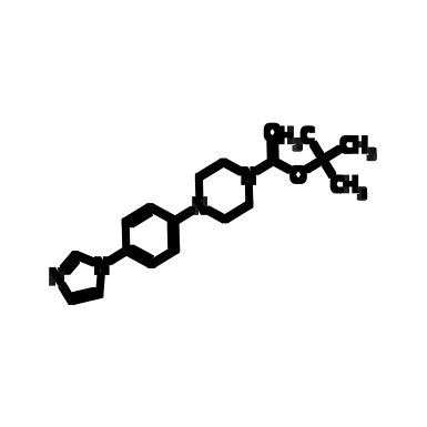 CC(C)(C)OC(=O)N1CCN(c2ccc(-n3ccnc3)cc2)CC1